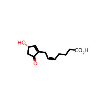 O=C(O)CCC/C=C\CC1=C[C@@H](O)CC1=O